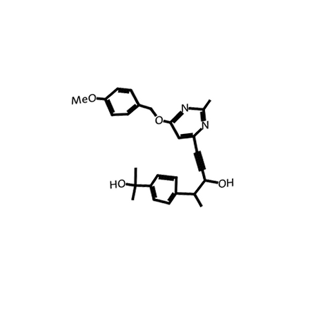 COc1ccc(COc2cc(C#CC(O)C(C)c3ccc(C(C)(C)O)cc3)nc(C)n2)cc1